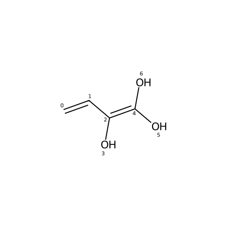 C=CC(O)=C(O)O